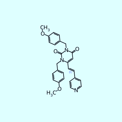 COc1ccc(Cn2c(/C=C/c3ccncc3)cc(=O)n(Cc3ccc(OC)cc3)c2=O)cc1